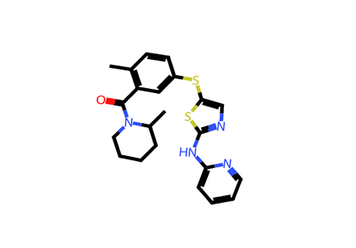 Cc1ccc(Sc2cnc(Nc3ccccn3)s2)cc1C(=O)N1CCCCC1C